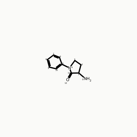 NC1CCN(c2[c]cccc2)C1=O